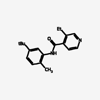 CCc1cnccc1C(=O)Nc1cc(C(C)(C)C)ccc1C